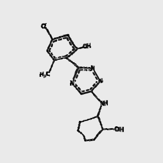 Cc1cc(Cl)cc(O)c1-c1ncc(NC2CCCCC2O)nn1